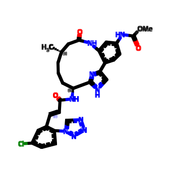 COC(=O)Nc1ccc2c(c1)NC(=O)C[C@@H](C)CCC[C@H](NC(=O)/C=C/c1cc(Cl)ccc1-n1cnnn1)c1nc-2c[nH]1